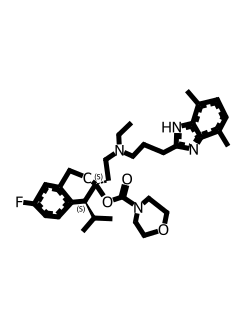 CCN(CCCc1nc2c(C)ccc(C)c2[nH]1)CC[C@@]1(OC(=O)N2CCOCC2)CCc2cc(F)ccc2[C@@H]1C(C)C